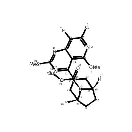 COc1nc(Cl)c(F)c2nc(SC)nc(N3C[C@H]4CC[C@@H](C3)N4C(=O)OC(C)(C)C)c12